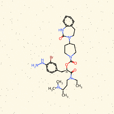 CCN(CCC(C)N(C)C)C(=O)[C@@H](Cc1ccc(NN)c(Br)c1)OC(=O)N1CCC(N2CCc3ccccc3NC2=O)CC1